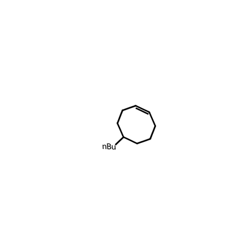 CCCCC1CCC=CCCC1